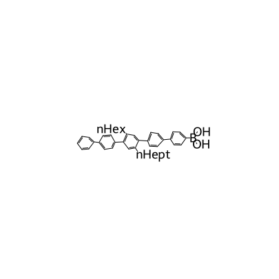 CCCCCCCc1cc(-c2ccc(-c3ccccc3)cc2)c(CCCCCC)cc1-c1ccc(-c2ccc(B(O)O)cc2)cc1